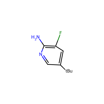 CC(C)(C)c1cnc(N)c(F)c1